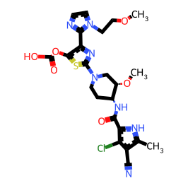 COCCn1ccnc1-c1nc(N2CC[C@@H](NC(=O)c3[nH]c(C)c(C#N)c3Cl)[C@@H](OC)C2)sc1OC(=O)O